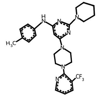 Cc1ccc(Nc2cc(N3CCN(c4ncccc4C(F)(F)F)CC3)nc(N3CCCCC3)n2)cc1